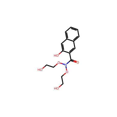 O=C(c1cc2ccccc2cc1O)N(OCCO)OCCO